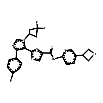 O=C(Nc1ccc(C2COC2)cn1)c1coc(-c2c(-c3ccc(F)cc3)ncn2C2CC(F)(F)C2)n1